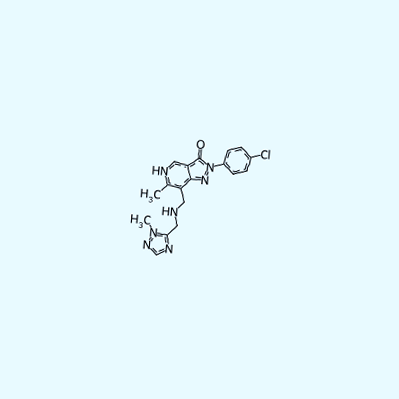 Cc1[nH]cc2c(=O)n(-c3ccc(Cl)cc3)nc-2c1CNCc1ncnn1C